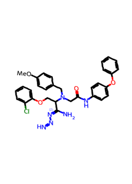 COc1ccc(CN(CC(=O)Nc2ccc(Oc3ccccc3)cc2)C(COc2ccccc2Cl)/C(N)=N/N=N)cc1